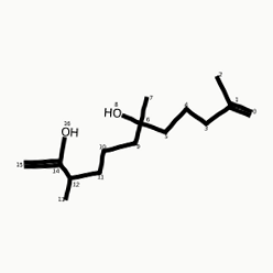 C=C(C)CCCC(C)(O)CCCC(C)C(=C)O